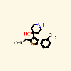 Cc1ccccc1.O=CCc1sccc1C1(O)CCNCC1